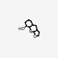 Oc1cccc2cc3ccoc3nc12